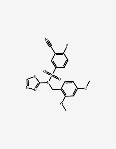 COc1ccc(CN(c2nncs2)S(=O)(=O)c2ccc(F)c(C#N)c2)c(OC)c1